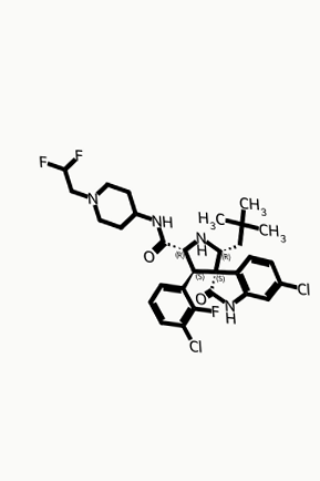 CC(C)(C)C[C@H]1N[C@@H](C(=O)NC2CCN(CC(F)F)CC2)[C@H](c2cccc(Cl)c2F)[C@@]12C(=O)Nc1cc(Cl)ccc12